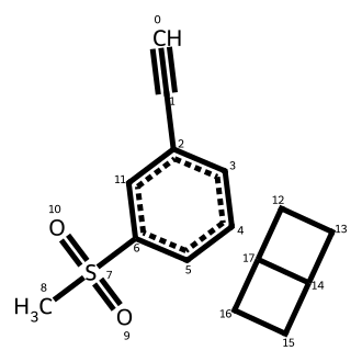 C#Cc1cccc(S(C)(=O)=O)c1.C1CC2CCC12